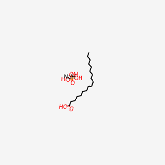 CCCCCCCC/C=C\CCCCCCCC(=O)O.O=P(O)(O)O.[NaH]